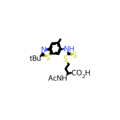 CC(=O)NC(CCSC(=S)Nc1cc2sc(C(C)(C)C)nc2cc1C)C(=O)O